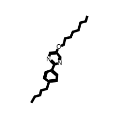 CCCCCCCCOc1cnc(-c2ccc(CCCCC)cc2)nc1